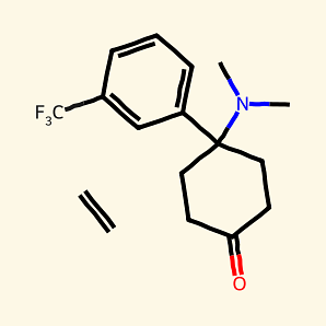 C=C.CN(C)C1(c2cccc(C(F)(F)F)c2)CCC(=O)CC1